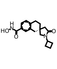 O=C(NO)c1ccc2c(c1)C[C@]1(CC2)CC(=O)N(C2CCC2)C1